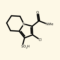 CNC(=O)c1c(Cl)c(S(=O)(=O)O)c2n1CCCC2